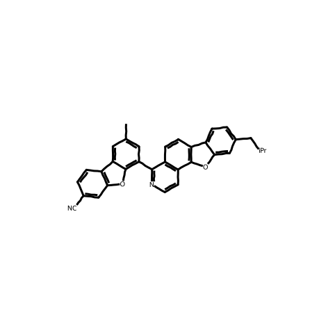 Cc1cc(-c2nccc3c2ccc2c4ccc(CC(C)C)cc4oc32)c2oc3cc(C#N)ccc3c2c1